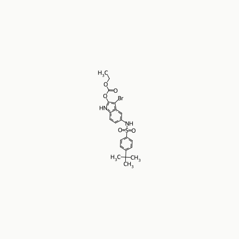 CCOC(=O)Oc1[nH]c2ccc(NS(=O)(=O)c3ccc(C(C)(C)C)cc3)cc2c1Br